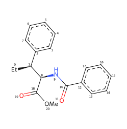 CC[C@@H](c1ccccc1)[C@@H](NC(=O)c1ccccc1)C(=O)OC